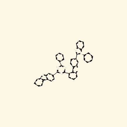 c1ccc(-c2nc(-c3ccc4c(c3)sc3ccccc34)nc(-c3cccc4sc5cc(-c6nc7ccccc7n6-c6ccccc6)ccc5c34)n2)cc1